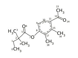 CCC(C)(C)C(=O)Oc1ccc(C(C)=O)c(C)c1C